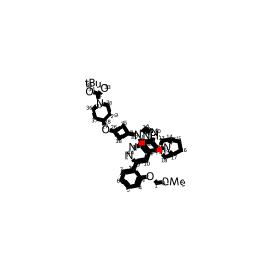 COCOc1ccccc1-c1cc(N2CC3CCC(C2)N3Cc2cn(C3CC(OC4CCN(C(=O)OC(C)(C)C)CC4)C3)cn2)c(N)nn1